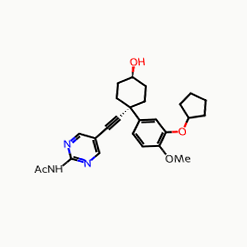 COc1ccc([C@]2(C#Cc3cnc(NC(C)=O)nc3)CC[C@H](O)CC2)cc1OC1CCCC1